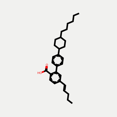 CCC/C=C/c1ccc(C(=O)O)c(-c2ccc(C3CCC(CCCCCC)CC3)cc2)c1